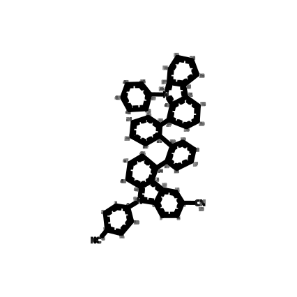 N#Cc1ccc(-n2c3ccc(C#N)cc3c3c(-c4ccccc4-c4ccccc4-c4cccc5c6ccccc6n(-c6ccccc6)c45)cccc32)cc1